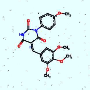 COc1ccc(N2C(=O)NC(=O)/C(=C/c3cc(OC)c(OC)c(OC)c3)C2=O)cc1